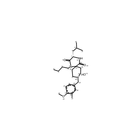 CCCCN1C(=O)[C@H](CC(C)C)NC(=O)C12CCN(Cc1ccc(OC)c(C)c1)CC2.Cl